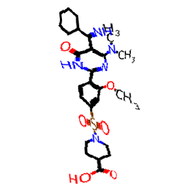 COc1cc(S(=O)(=O)N2CCC(C(=O)O)CC2)ccc1-c1nc(N(C)C)c(C(=N)C2CCCCC2)c(=O)[nH]1